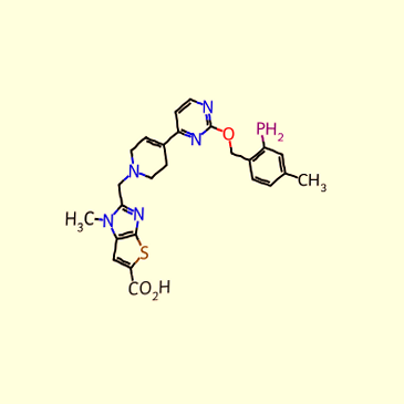 Cc1ccc(COc2nccc(C3=CCN(Cc4nc5sc(C(=O)O)cc5n4C)CC3)n2)c(P)c1